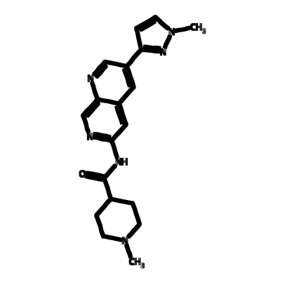 CN1CCC(C(=O)Nc2cc3cc(-c4ccn(C)n4)cnc3cn2)CC1